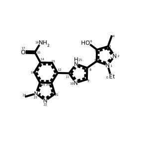 CCn1nc(C)c(O)c1-c1cnc(-c2cc(C(N)=O)cc3c2cnn3C)[nH]1